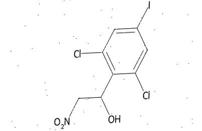 O=[N+]([O-])CC(O)c1c(Cl)cc(I)cc1Cl